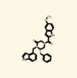 COc1ccc2[nH]c(C(=O)N3CC(=O)N(Cc4cccc5[nH]ccc45)[C@@H](Cc4ccccc4)C3)cc2c1